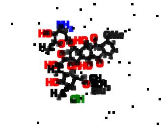 COc1cccc2c1C(=O)c1c(O)c3c(c(O)c1C2=O)C[C@@](O)(C(=O)CO)C[C@@H]3OC1CC(N)C(O)C(C)O1.Cc1cc(CO[Si](C)(C)C(C)(C)C)cc(C)c1O.Cl